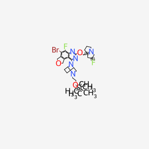 CC(C)(C)[Si](C)(C)OCCN1CC2N(c3nc(OC[C@@]45CCCN4C[C@H](F)C5)nc4c(F)c(Br)c5c(c34)COC5)C3CCC321